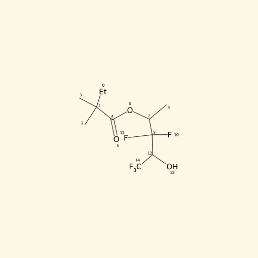 CCC(C)(C)C(=O)OC(C)C(F)(F)C(O)C(F)(F)F